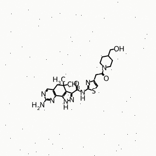 CC1(C)Cc2cnc(N)nc2-c2[nH]nc(C(=O)Nc3nc(CC(=O)N4CCC(CO)CC4)cs3)c21